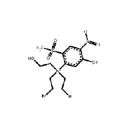 [CH]c1cc([N+](CCO)(CCBr)CCBr)c(S(C)(=O)=O)cc1[N+](=O)[O-]